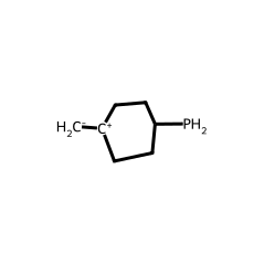 [CH2-][C+]1CCC(P)CC1